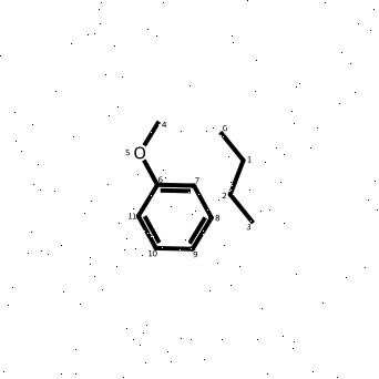 CCCC.COc1ccccc1